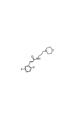 O=C(C=Cc1cc(F)ccc1F)NCCCN1CCOCC1